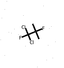 CC(C)(F)C(F)(Cl)Cl